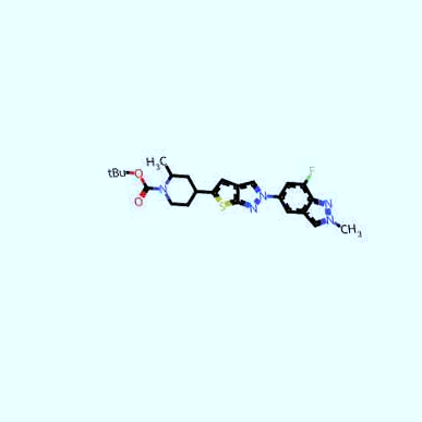 CC1CC(c2cc3cn(-c4cc(F)c5nn(C)cc5c4)nc3s2)CCN1C(=O)OC(C)(C)C